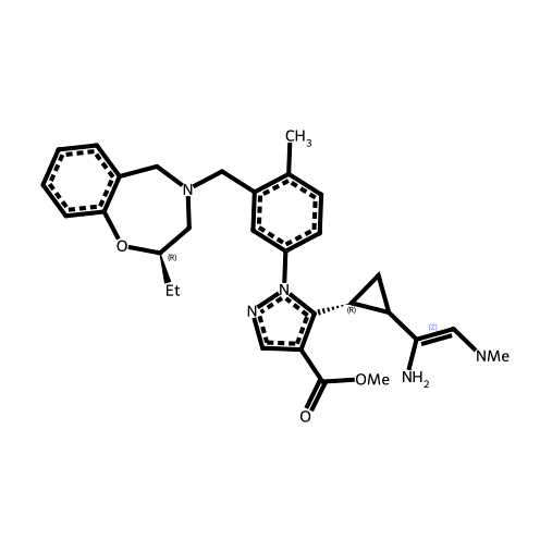 CC[C@@H]1CN(Cc2cc(-n3ncc(C(=O)OC)c3[C@@H]3CC3/C(N)=C/NC)ccc2C)Cc2ccccc2O1